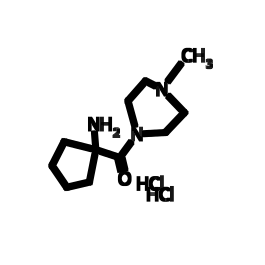 CN1CCN(C(=O)C2(N)CCCC2)CC1.Cl.Cl